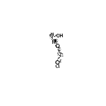 OCCc1nccn1Cc1coc(-c2ccc(OCc3coc(C=Cc4ccc(Cl)cc4F)n3)cc2)n1